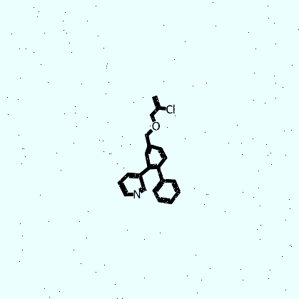 C=C(Cl)COCc1ccc(-c2ccccc2)c(-c2cccnc2)c1